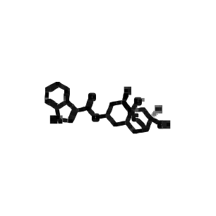 O=C(OC1CC2CC3C[C@H](C1)[N+]2([O-])C[C@H]3O)c1c[nH]c2ccccc12